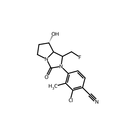 Cc1c(N2C(=O)N3CC[C@H](O)C3C2CF)ccc(C#N)c1Cl